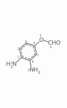 Nc1ccc(OC=O)cc1N